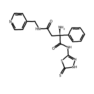 N[C@](CC(=O)NCc1ccncc1)(C(=O)Nc1n[nH]c(=S)s1)c1ccccc1